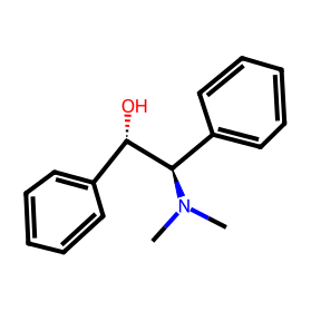 CN(C)[C@H](c1ccccc1)[C@@H](O)c1ccccc1